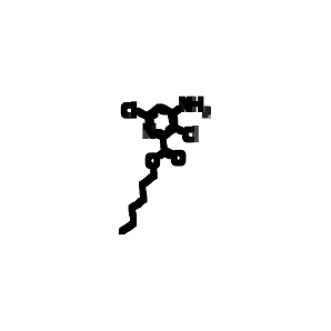 CCCCCCOC(=O)c1nc(Cl)cc(N)c1Cl